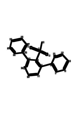 CS(=O)(=O)c1c(-c2ccccn2)ccnc1-c1ccccc1